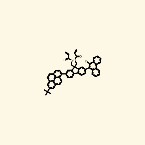 C=CC(=O)OCC1(COC(=O)C=C)c2cc(-c3c(F)c4ccccc4c4ccccc34)ccc2-c2ccc(-c3ccc4ccc5cc(C(C)(C)C)cc6ccc3c4c56)cc21